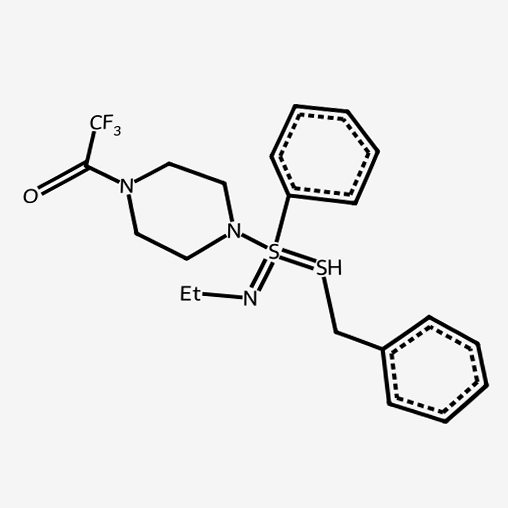 CCN=S(=[SH]Cc1ccccc1)(c1ccccc1)N1CCN(C(=O)C(F)(F)F)CC1